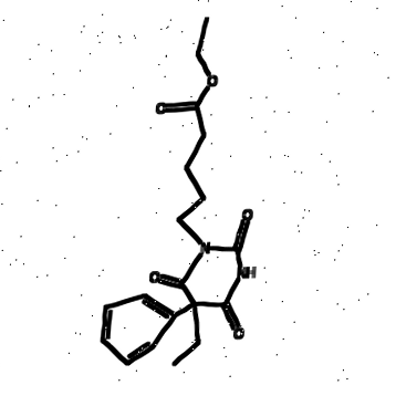 CCOC(=O)CCCCN1C(=O)NC(=O)C(CC)(c2ccccc2)C1=O